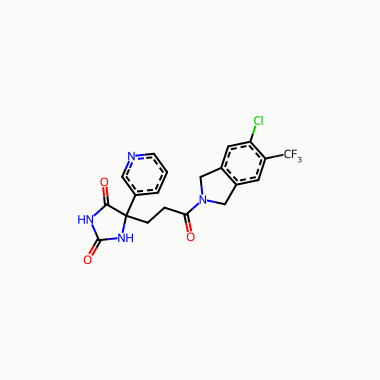 O=C1NC(=O)C(CCC(=O)N2Cc3cc(Cl)c(C(F)(F)F)cc3C2)(c2cccnc2)N1